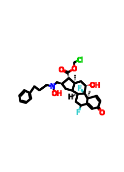 C[C@]12C[C@H](O)[C@@]3(F)[C@@H](C[C@H](F)C4=CC(=O)C=C[C@@]43C)C1C[C@@H](CN(O)CCCc1ccccc1)[C@@H]2C(=O)OCCl